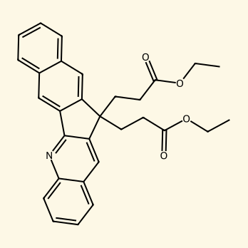 CCOC(=O)CCC1(CCC(=O)OCC)c2cc3ccccc3cc2-c2nc3ccccc3cc21